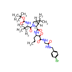 C=CCC(NC(=O)[C@@H]1[C@H]2[C@H](CN1C(=O)[C@@H](NC(=O)OC(C)(C)C)C(C)(C)C)C2(C)C)C(=O)C(=O)NCC(=O)NCc1ccc(Br)cc1